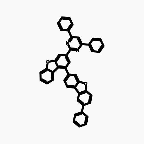 c1ccc(-c2ccc3oc4cc(-c5cc(-c6nc(-c7ccccc7)cc(-c7ccccc7)n6)cc6oc7ccccc7c56)ccc4c3c2)cc1